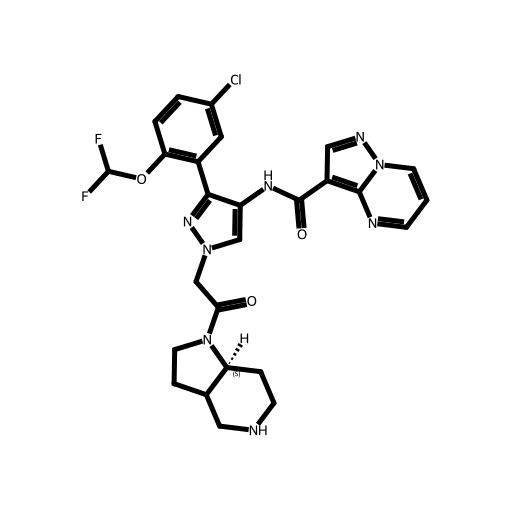 O=C(Nc1cn(CC(=O)N2CCC3CNCC[C@@H]32)nc1-c1cc(Cl)ccc1OC(F)F)c1cnn2cccnc12